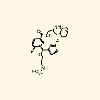 CNC(CNC(=O)c1ccc(F)c(C(OCCNC(=O)O)c2cccc(Cl)c2)c1)CC1CCCOC1